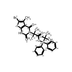 Cc1c(Br)sc2[nH]c(=O)n(C(C)(C)C(=O)O[Si](c3ccccc3)(c3ccccc3)C(C)(C)C)c(=O)c12